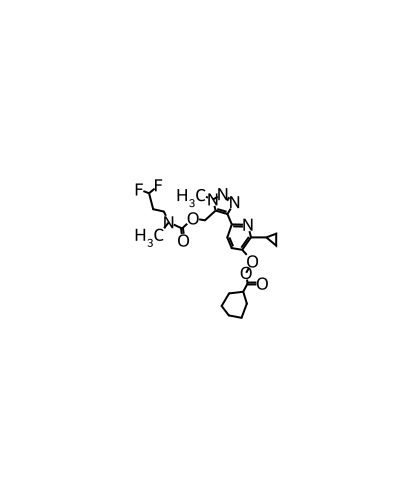 CN(CCC(F)F)C(=O)OCc1c(-c2ccc(OOC(=O)C3CCCCC3)c(C3CC3)n2)nnn1C